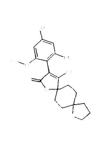 COc1cc(C)cc(C)c1C1=C(O)C2(CCC3(CCCO3)CC2)OC1=O